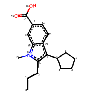 CCCc1c(C2CCCC2)c2ccc(C(=O)O)cc2n1C